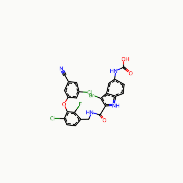 N#Cc1cc(Cl)cc(Oc2c(Cl)ccc(CNC(=O)c3[nH]c4ccc(NC(=O)O)cc4c3Br)c2F)c1